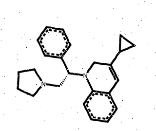 C1=C(C2CC2)CN([C@H](CN2CCCC2)c2ccccc2)c2ccccc21